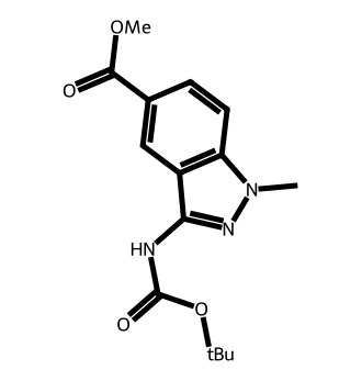 COC(=O)c1ccc2c(c1)c(NC(=O)OC(C)(C)C)nn2C